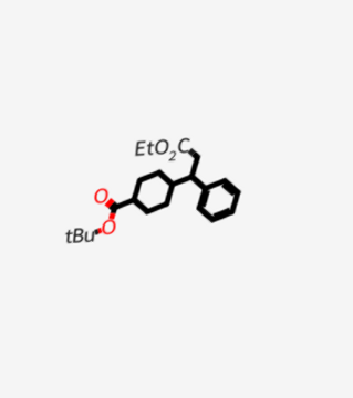 CCOC(=O)CC(c1ccccc1)C1CCC(C(=O)OC(C)(C)C)CC1